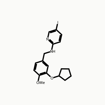 COc1ccc(CNc2ccc(I)cn2)cc1OC1CCCC1